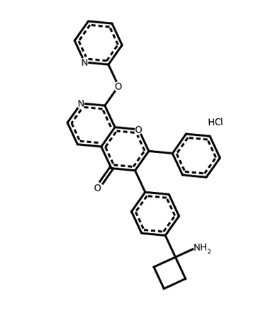 Cl.NC1(c2ccc(-c3c(-c4ccccc4)oc4c(Oc5ccccn5)nccc4c3=O)cc2)CCC1